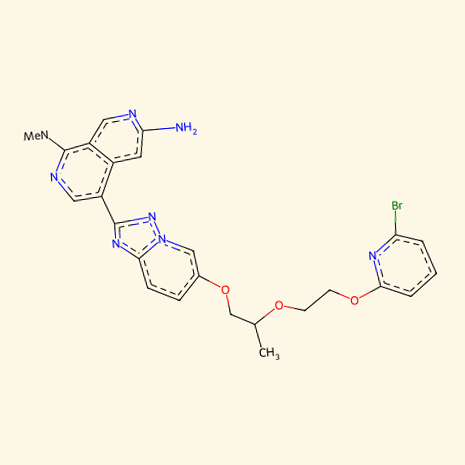 CNc1ncc(-c2nc3ccc(OCC(C)OCCOc4cccc(Br)n4)cn3n2)c2cc(N)ncc12